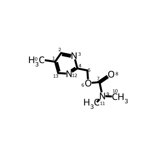 Cc1cnc(COC(=O)N(C)C)nc1